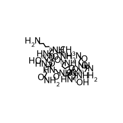 C[C@H](NC(=O)[C@@H]1CCC(=O)N1)C(=O)N[C@@H](CCCCN)C(=O)N[C@@H](CO)C(=O)N[C@@H](CCC(N)=O)C(=O)NCC(=O)NCC(=O)N[C@@H](CO)C(=O)N[C@@H](CC(N)=O)C(=O)NCC(N)=O